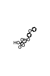 O=C1OC(CCOc2ccc(Oc3ccccc3)cc2)C(O)=C1O